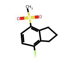 CS(=O)(=O)c1ccc(F)c2c1CCC2